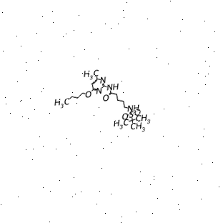 CCCCOc1cc(C)nc(NC(=O)CCCCNS(=O)(=O)C(C)(C)C)n1